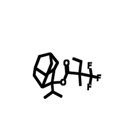 CCC(C)(C(=O)OC1(C(C)C)C2CC3CC(C2)CC1C3)C(F)(F)F